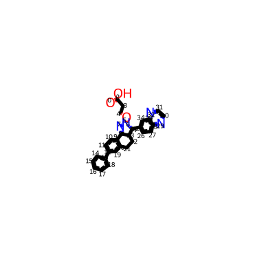 O=C(O)CCON1N=C2c3ccc(-c4ccccc4)cc3CCC2C1c1ccc2nccnc2c1